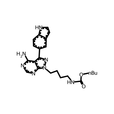 CCCCOC(=O)NCCCCn1nc(-c2ccc3[nH]ccc3c2)c2c(N)ncnc21